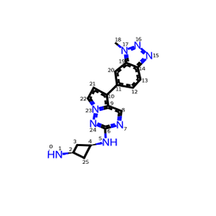 CN[C@H]1C[C@@H](Nc2ncc3c(-c4ccc5nnn(C)c5c4)ccn3n2)C1